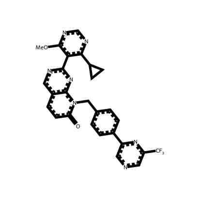 COc1ncnc(C2CC2)c1-c1ncc2ccc(=O)n(Cc3ccc(-c4cncc(C(F)(F)F)n4)cc3)c2n1